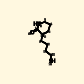 O=C1NCCCN1CCCCS